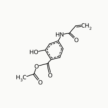 C=CC(=O)Nc1ccc(C(=O)OC(C)=O)c(O)c1